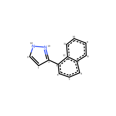 C1=CC(c2cccc3ccccc23)=N[N]1